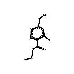 CCOC(=O)c1ccc(CN)cc1C